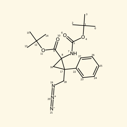 CC(C)(C)OC(=O)NC1(C(=O)OC(C)(C)C)CC1(CN=[N+]=[N-])c1ccccc1